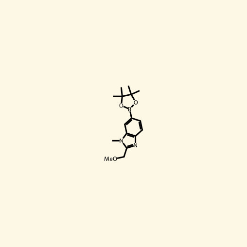 COCc1nc2ccc(B3OC(C)(C)C(C)(C)O3)cc2n1C